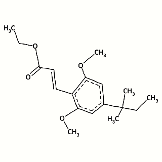 CCOC(=O)C=Cc1c(OC)cc(C(C)(C)CC)cc1OC